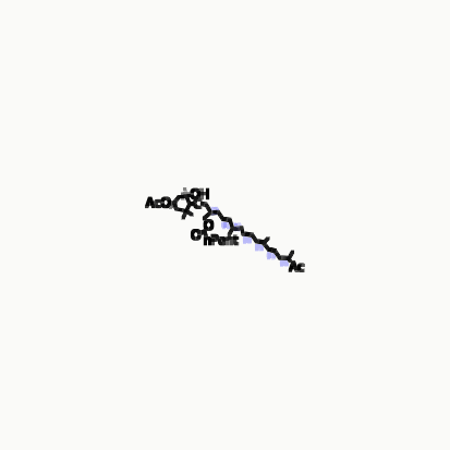 CCCCCC(=O)OC\C(C=C=C1C(C)(C)C[C@H](OC(C)=O)C[C@@]1(C)O)=C/C=C/C(C)=C/C=C/C=C(C)/C=C/C=C(\C)C(C)=O